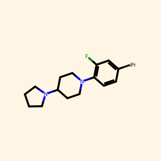 CC(C)c1ccc(N2CCC(N3CCCC3)CC2)c(F)c1